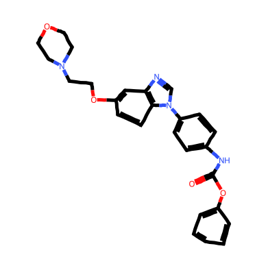 O=C(Nc1ccc(-n2cnc3cc(OCCN4CCOCC4)ccc32)cc1)Oc1ccccc1